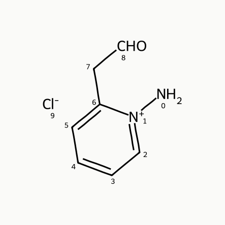 N[n+]1ccccc1CC=O.[Cl-]